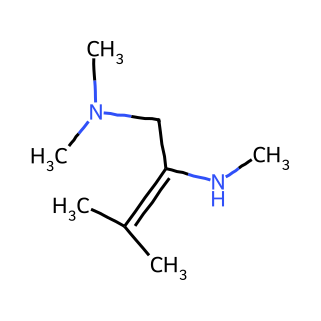 CNC(CN(C)C)=C(C)C